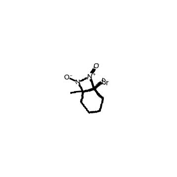 CC12CCCCC1(Br)[N+](=O)N2[O-]